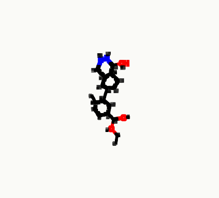 CCOC(=O)c1ccc(C)c(-c2ccc3c(O)nncc3c2)c1